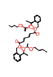 CCCCOC(C)OC(C)c1ccccc1COC(=O)CCCCC(=O)OCc1ccccc1C(C)OC(C)OCCCC